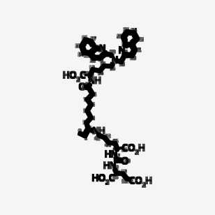 C/C=C(\CCCCCCC(=O)N[C@@H](CCCCN(Cc1ccc2ccccc2n1)Cc1ccc2ccccc2n1)C(=O)O)NCCCC[C@H](NC(=O)N[C@@H](CCC(=O)O)C(=O)O)C(=O)O